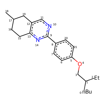 CCCCC(CC)COc1ccc(-c2ncc3c(n2)CCC(C)C3)cc1